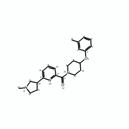 Cc1cccc(OC2CCN(C(=O)c3cccc(C4CCN(C)C4)n3)CC2)c1